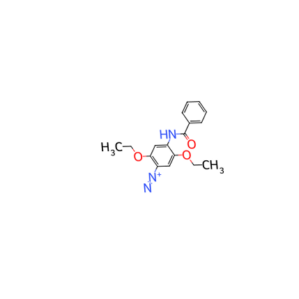 CCOc1cc(NC(=O)c2ccccc2)c(OCC)cc1[N+]#N